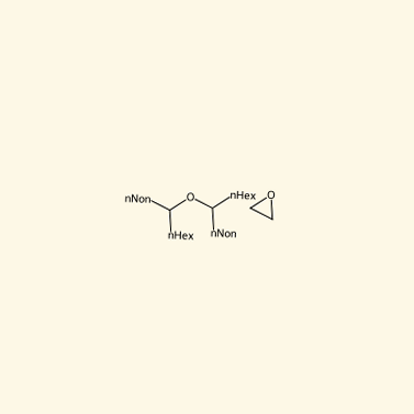 C1CO1.CCCCCCCCCC(CCCCCC)OC(CCCCCC)CCCCCCCCC